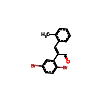 Cc1ccccc1C=C([C]=O)c1cc(Br)ccc1Br